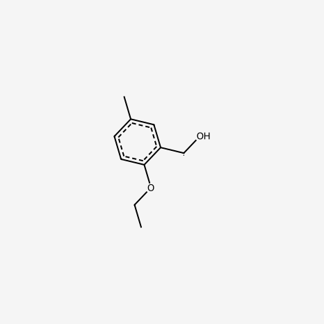 CCOc1ccc(C)cc1[CH]O